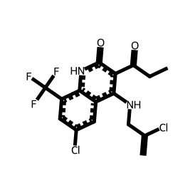 C=C(Cl)CNc1c(C(=O)CC)c(=O)[nH]c2c(C(F)(F)F)cc(Cl)cc12